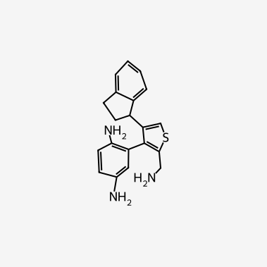 NCc1scc(C2CCc3ccccc32)c1-c1cc(N)ccc1N